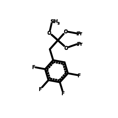 CC(C)OC(Cc1cc(F)c(F)c(F)c1F)(O[SiH3])OC(C)C